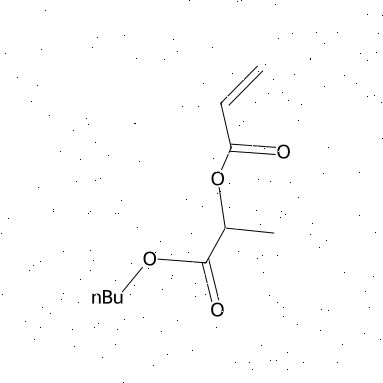 C=CC(=O)OC(C)C(=O)OCCCC